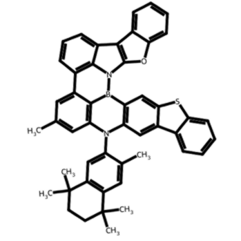 Cc1cc2c3c(c1)N(c1cc4c(cc1C)C(C)(C)CCC4(C)C)c1cc4c(cc1B3n1c3oc5ccccc5c3c3cccc-2c31)sc1ccccc14